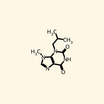 CC(C)Cn1c(=O)[nH]c(=O)c2ncn(C)c21